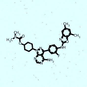 Cc1cc(C)c2oc(Nc3ccc(-c4nn(C5CCC(OC(=O)N(C)C)CC5)c5ncnc(N)c45)cc3F)nc2c1